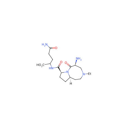 CCN1CC[C@H]2CC[C@@H](C(=O)NC(CCC(N)=O)C(=O)O)N2C(=O)[C@@H](N)C1